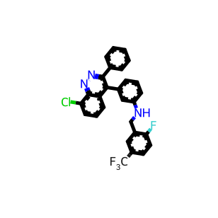 Fc1ccc(C(F)(F)F)cc1CNc1cccc(-c2c(-c3ccccc3)nnc3c(Cl)cccc23)c1